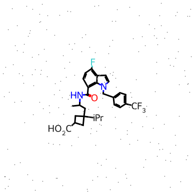 CC(CC1(C(C)C)CC(C(=O)O)C1)NC(=O)c1ccc(F)c2ccn(Cc3ccc(C(F)(F)F)cc3)c12